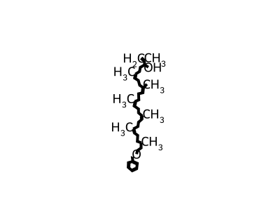 C=C(C)C(O)CCC(C)=CCCC(C)=CCCC(C)=CCCC(C)=CCCC(C)=CCCC(C)CCOCc1ccccc1